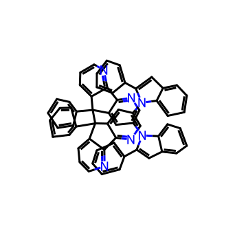 c1ccc(-c2cc3ccccc3n2-c2cnc3c(c2)C(c2ccccc2)(C2(c4ccccc4)c4cccnc4-c4ncc(-n5c(-c6ccccc6)cc6ccccc65)cc42)c2cccnc2-3)cc1